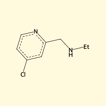 CCNCc1cc(Cl)ccn1